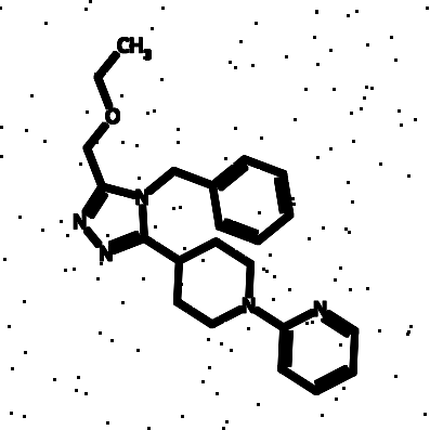 CCOCc1nnc(C2CCN(c3ccccn3)CC2)n1Cc1ccccc1